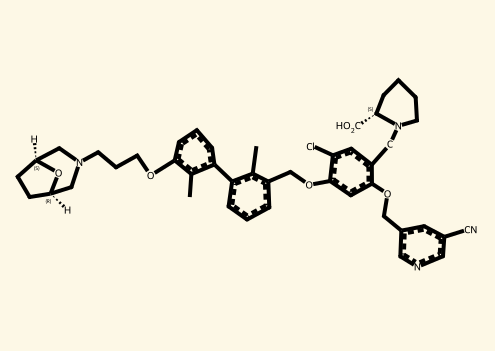 Cc1c(COc2cc(OCc3cncc(C#N)c3)c(CN3CCCC[C@H]3C(=O)O)cc2Cl)cccc1-c1cccc(OCCCN2C[C@H]3CC[C@@H](C2)O3)c1C